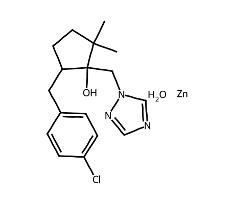 CC1(C)CCC(Cc2ccc(Cl)cc2)C1(O)Cn1cncn1.O.[Zn]